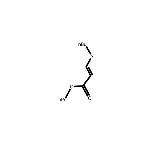 CCCCSC=CC(=O)OCCC